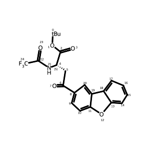 CC(C)(C)OC(=O)[C@H](CC(=O)c1ccc2oc3ccccc3c2c1)NC(=O)C(F)(F)F